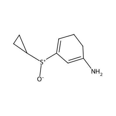 NC1=CC([S+]([O-])C2CC2)=CCC1